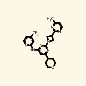 Cc1ccnc(C2CN(c3nc(Nc4cc(C(F)(F)F)ccn4)cc(C4CCOCC4)n3)C2)n1